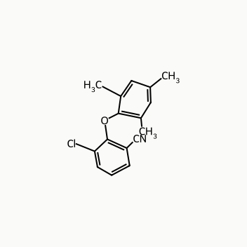 Cc1cc(C)c(Oc2c(Cl)cccc2C#N)c(C)c1